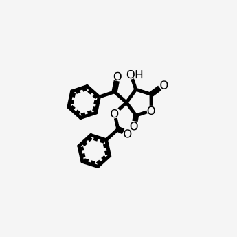 O=C(OC1(C(=O)c2ccccc2)C(=O)OC(=O)C1O)c1ccccc1